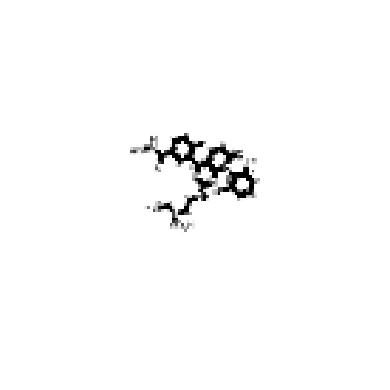 CCCNC(=O)c1ccc(C)c(-c2nc(NCCN(CC(C)(C)C)C(=O)O)nc3c2ccc(=O)n3-c2c(F)cccc2F)c1